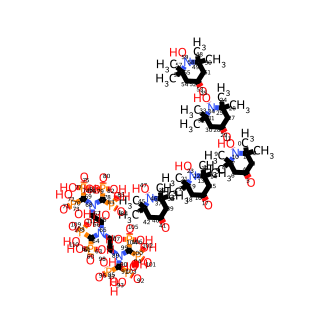 CC1(C)CC(=O)CC(C)(C)N1O.CC1(C)CC(=O)CC(C)(C)N1O.CC1(C)CC(=O)CC(C)(C)N1O.CC1(C)CC(=O)CC(C)(C)N1O.CC1(C)CC(=O)CC(C)(C)N1O.O=P(O)(O)C(N(CCN(C(P(=O)(O)O)P(=O)(O)O)C(P(=O)(O)O)P(=O)(O)O)CCN(C(P(=O)(O)O)P(=O)(O)O)C(P(=O)(O)O)P(=O)(O)O)P(=O)(O)O